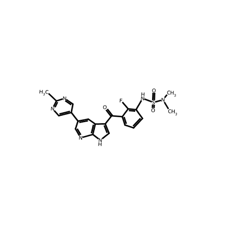 Cc1ncc(-c2cnc3[nH]cc(C(=O)c4cccc(NS(=O)(=O)N(C)C)c4F)c3c2)cn1